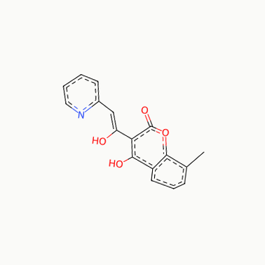 Cc1cccc2c(O)c(C(O)=Cc3ccccn3)c(=O)oc12